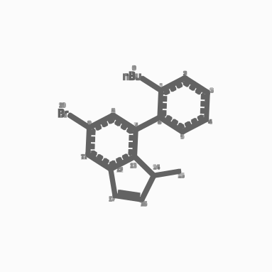 CCCCc1ccccc1-c1cc(Br)cc2c1C(C)C=C2